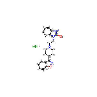 Br.O=c1[nH]c2ccccc2n1CCN1CCC(c2noc3ccccc23)CC1